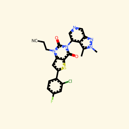 Cc1c2c(-n3c(=O)c4sc(-c5ccc(F)cc5Cl)cc4n(CCC#N)c3=O)cncc2nn1C